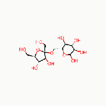 OC[C@H]1O[C@](CO)(OC[C@H]2OC(O)[C@H](O)[C@@H](O)[C@@H]2O)[C@@H](O)[C@@H]1O